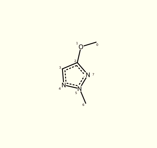 COc1cnn(C)n1